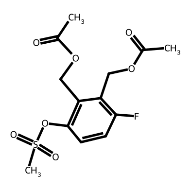 CC(=O)OCc1c(F)ccc(OS(C)(=O)=O)c1COC(C)=O